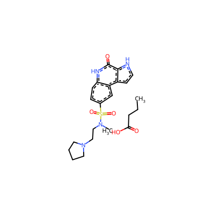 CCCC(=O)O.CN(CCN1CCCC1)S(=O)(=O)c1ccc2[nH]c(=O)c3[nH]ccc3c2c1